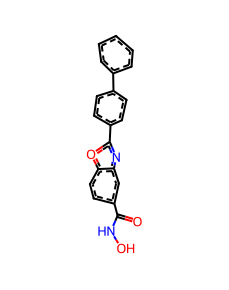 O=C(NO)c1ccc2oc(-c3ccc(-c4ccccc4)cc3)nc2c1